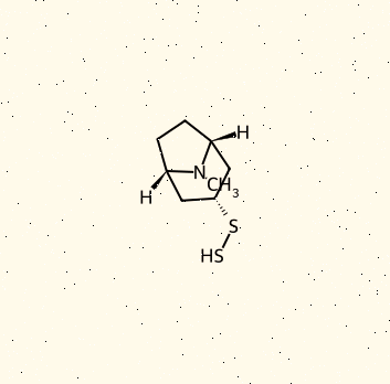 CN1[C@@H]2CC[C@H]1C[C@@H](SS)C2